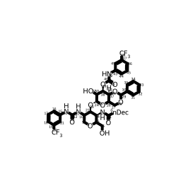 CCCCCCCCCCC(=O)N[C@H]1C(CO)OCC(NC(=O)Nc2cccc(C(F)(F)F)c2)[C@H]1O[C@H]1OC2COC(c3ccccc3)O[C@@H]2[C@H](OC(=O)Nc2cccc(C(F)(F)F)c2)C1O